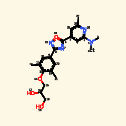 CCN(C)c1cc(-c2nc(-c3cc(C)c(OC[C@H](O)CO)c(C)c3)no2)cc(C)n1